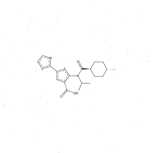 CC(C)N(c1sc(-c2nccs2)cc1C(=O)O)C(=O)[C@H]1CC[C@H](C)CC1